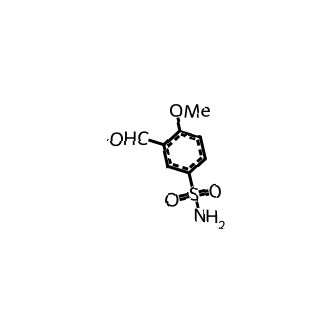 COc1ccc(S(N)(=O)=O)cc1[C]=O